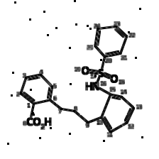 O=C(O)c1ccccc1CCCc1ccccc1NS(=O)(=O)c1ccccc1